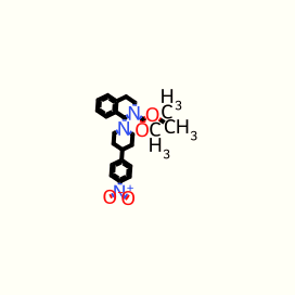 CC(C)(C)OC(=O)N1CCc2ccccc2C1N1CCC(c2ccc([N+](=O)[O-])cc2)CC1